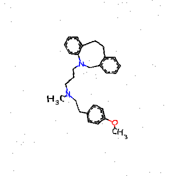 COc1ccc(CCN(C)CCCN2Cc3ccccc3CCc3ccccc32)cc1